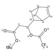 CC(C)(C)OC(=O)CC(OC(=O)C(F)(F)F)C1CC2C=CC1C2